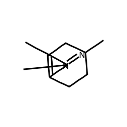 CC12CC=C(CC1)C(C)(C)N=N2